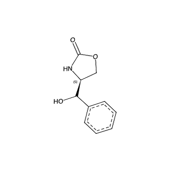 O=C1N[C@H](C(O)c2ccccc2)CO1